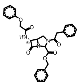 O=C(COc1ccccc1)N[C@H]1C(=O)N2C1CN(C(=O)Cc1ccccc1)C2C(=O)OCc1ccccc1